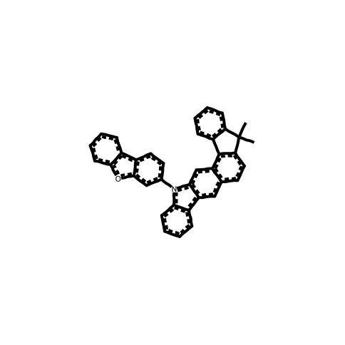 CC1(C)c2ccccc2-c2c1ccc1cc3c4ccccc4n(-c4ccc5c(c4)oc4ccccc45)c3cc21